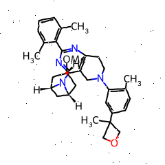 CO[C@@H]1C[C@@H]2C[C@H](C1)N2c1nc(-c2c(C)cccc2C)nc2c1CN(c1cc(C3(C)COC3)ccc1C)CC2